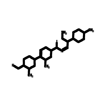 CC1CCC(C(/C=N\C(I)C2CC=C(C3CCC(CF)C(C)C3)C(C)C2)CN)CC1